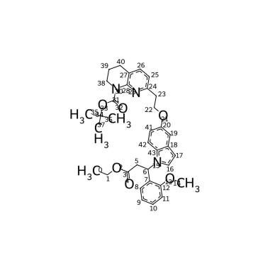 CCOC(=O)CC(c1ccccc1OC)n1ccc2cc(OCCc3ccc4c(n3)N(C(=O)OC(C)(C)C)CCC4)ccc21